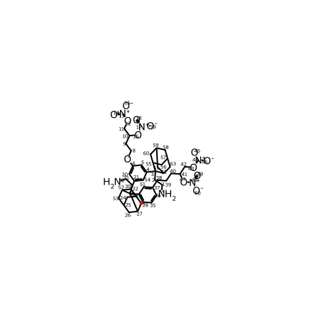 NCCC1(c2cc(OCCC(CO[N+](=O)[O-])O[N+](=O)[O-])cc(C3C4CC5CC(C4)C(CCN)(c4cccc(CCCC(CO[N+](=O)[O-])O[N+](=O)[O-])c4)C3C5)c2)C2CC3CC(C2)CC1C3